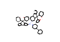 C1=CC2=C(CC1)C1(c3ccccc3O2)c2ccccc2-c2ccc(N(c3ccc(-c4ccccc4)cc3)c3ccc4c(c3)C3(c5ccccc5Oc5ccccc53)c3ccccc3-4)cc21